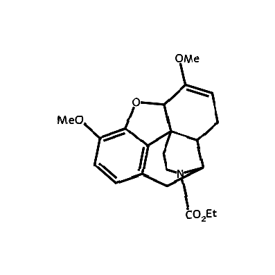 CCOC(=O)N1CCC23c4c5ccc(OC)c4OC2C(OC)=CCC3C1C5